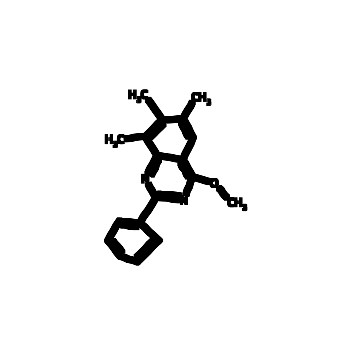 COc1nc(-c2ccccc2)nc2c(C)c(C)c(C)cc12